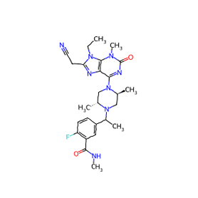 CCn1c(CC#N)nc2c(N3C[C@@H](C)N(C(C)c4ccc(F)c(C(=O)NC)c4)C[C@@H]3C)nc(=O)n(C)c21